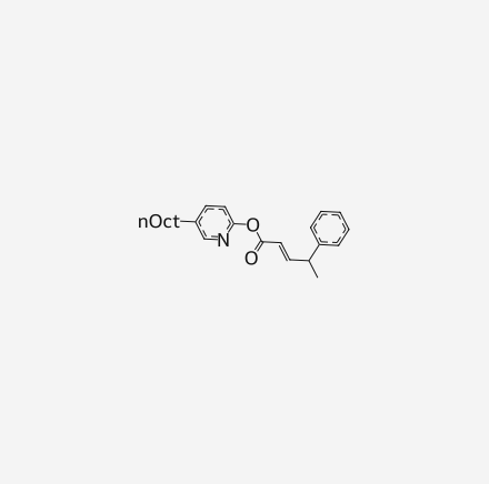 CCCCCCCCc1ccc(OC(=O)/C=C/C(C)c2ccccc2)nc1